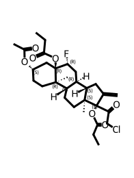 C=C1C[C@H]2[C@@H]3C[C@@H](F)[C@@]4(OC(=O)CC)C[C@@H](OC(C)=O)CC[C@]4(C)[C@H]3CC[C@]2(C)[C@]1(OC(=O)CC)C(=O)CCl